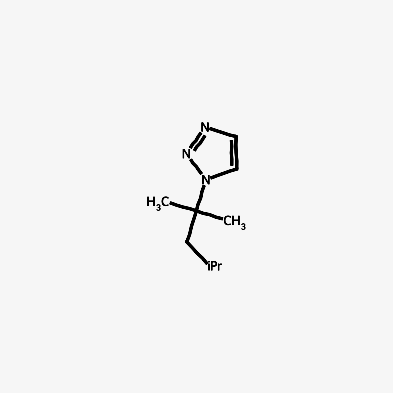 CC(C)CC(C)(C)n1ccnn1